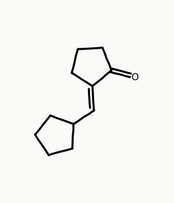 O=C1CCC/C1=C\C1CCCC1